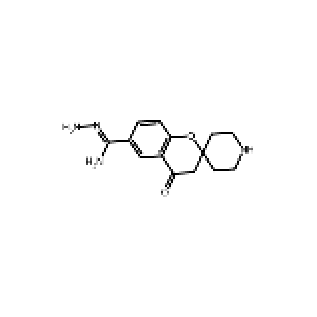 N/N=C(\N)c1ccc2c(c1)C(=O)CC1(CCNCC1)O2